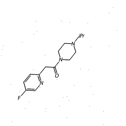 CC(C)N1CCN(C(=O)Cc2ccc(F)cn2)CC1